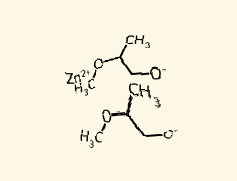 COC(C)C[O-].COC(C)C[O-].[Zn+2]